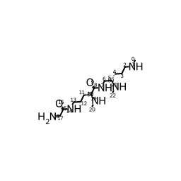 CNCCC[C@@H](CNC(=O)[C@H](CCCNC(=O)CN)NC)NC